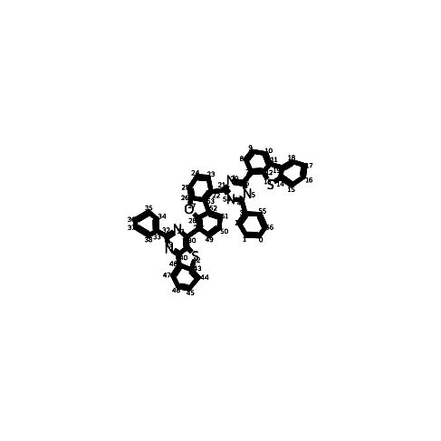 c1ccc(-c2nc(-c3cccc4c3sc3ccccc34)nc(-c3cccc4oc5c(-c6nc(-c7ccccc7)nc7c6sc6ccccc67)cccc5c34)n2)cc1